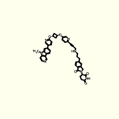 Cn1c2ccncc2c2ccc(-c3ccc(O[C@H]4C[C@H](Oc5ccc(C#CCNCCCc6ccc7c(c6)CN(C6CCC(=O)NC6=O)C7=O)nc5)C4)nc3)cc21